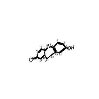 O=C1C=CC2=Nc3ccc(O)cc3CCC2=C1